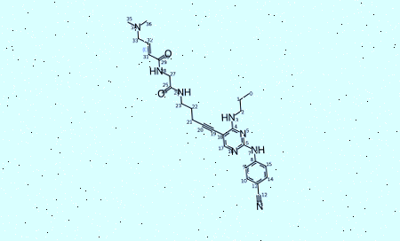 CCCNc1nc(Nc2ccc(C#N)cc2)ncc1C#CCCCNC(=O)CNC(=O)/C=C/CN(C)C